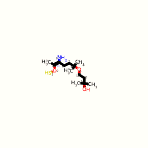 C/C(OS)=C(\N)CCC(C)(C)OCCC(C)(C)O